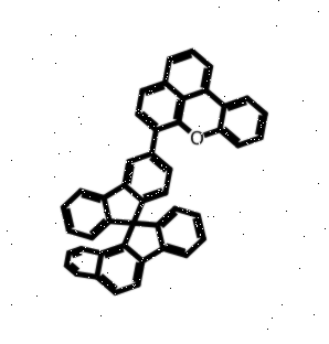 c1ccc2c(c1)Oc1c(-c3ccc4c(c3)-c3ccccc3C43c4ccccc4-c4ccc5ccccc5c43)ccc3cccc-2c13